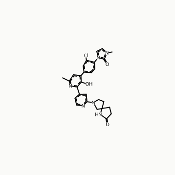 Cc1cc(-c2ccc(-n3ccn(C)c3=O)c(Cl)c2)c(O)c(-c2ccnc(N3CCC4(CCC(=O)N4)C3)c2)n1